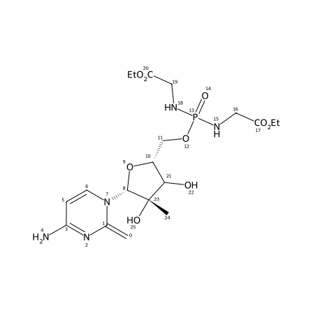 C=C1N=C(N)C=CN1[C@@H]1O[C@H](COP(=O)(NCC(=O)OCC)NCC(=O)OCC)C(O)[C@]1(C)O